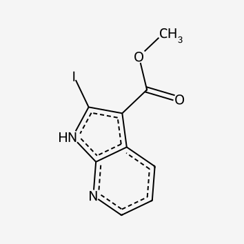 COC(=O)c1c(I)[nH]c2ncccc12